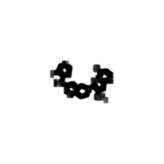 Cc1cc2nccc(=O)n2nc1N1CCc2ncc(Nc3ccncc3F)cc2C1